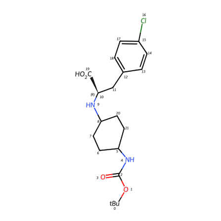 CC(C)(C)OC(=O)NC1CCC(N[C@H](Cc2ccc(Cl)cc2)C(=O)O)CC1